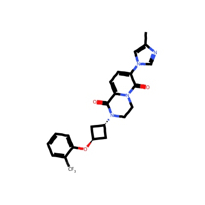 Cc1cn(-c2ccc3n(c2=O)CCN([C@H]2C[C@H](Oc4ccccc4C(F)(F)F)C2)C3=O)cn1